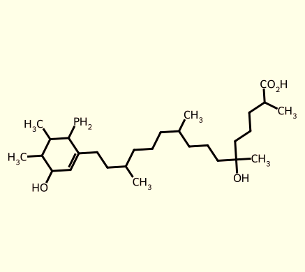 CC(CCCC(C)CCC1=CC(O)C(C)C(C)C1P)CCCC(C)(O)CCCC(C)C(=O)O